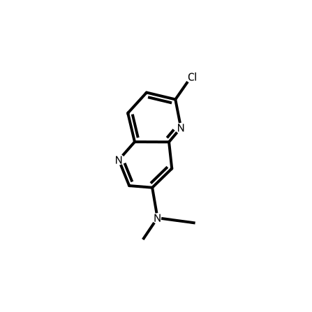 CN(C)c1cnc2ccc(Cl)nc2c1